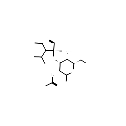 CCC(C(C)C)[C@](C)(C=O)O[C@H]1[C@H](O)[C@@H](CO)OC(O)[C@@H]1NC(C)=O